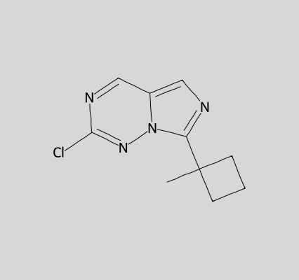 CC1(c2ncc3cnc(Cl)nn23)CCC1